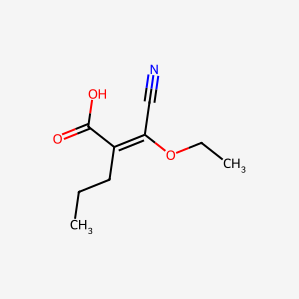 CCCC(C(=O)O)=C(C#N)OCC